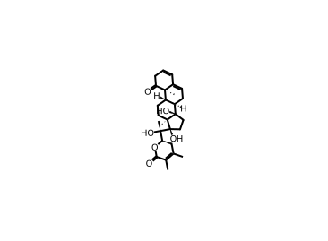 CC1=C(C)C(=O)O[C@@H]([C@](C)(O)[C@@]2(O)CC[C@@]3(O)[C@@H]4CC=C5C=CCC(=O)[C@]5(C)[C@H]4CC[C@]23C)C1